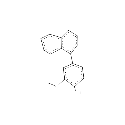 COc1cc(-c2cccc3ccccc23)ccc1O